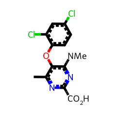 CNc1nc(C(=O)O)nc(C)c1Oc1ccc(Cl)cc1Cl